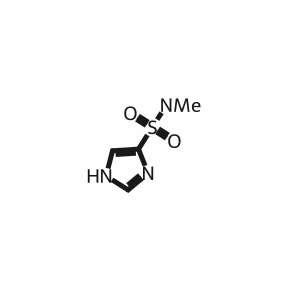 CNS(=O)(=O)c1c[nH]cn1